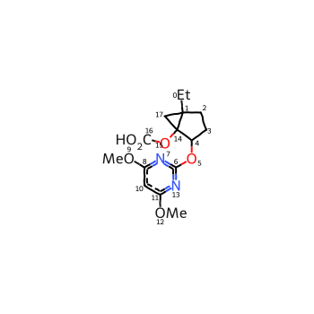 CCC12CCC(Oc3nc(OC)cc(OC)n3)C1(OC(=O)O)C2